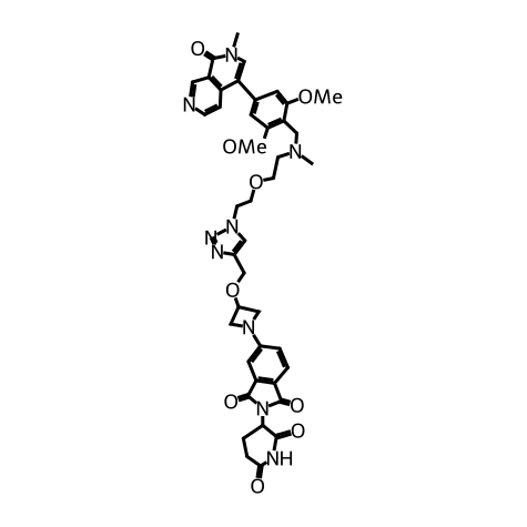 COc1cc(-c2cn(C)c(=O)c3cnccc23)cc(OC)c1CN(C)CCOCCn1cc(COC2CN(c3ccc4c(c3)C(=O)N(C3CCC(=O)NC3=O)C4=O)C2)nn1